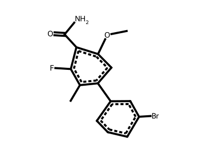 COc1cc(-c2cccc(Br)c2)c(C)c(F)c1C(N)=O